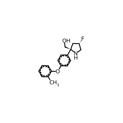 Cc1ccccc1Oc1ccc([C@]2(CO)C[C@H](F)CN2)cc1